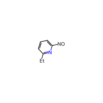 CCc1cccc(N=O)n1